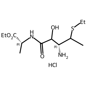 CCOC(=O)[C@@H](C)NC(=O)C(O)[C@@H](N)C(C)SCC.Cl